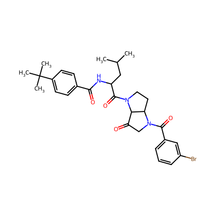 CC(C)CC(NC(=O)c1ccc(C(C)(C)C)cc1)C(=O)N1CCC2C1C(=O)CN2C(=O)c1cccc(Br)c1